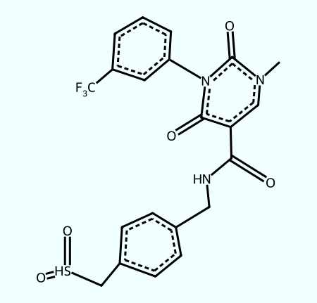 Cn1cc(C(=O)NCc2ccc(C[SH](=O)=O)cc2)c(=O)n(-c2cccc(C(F)(F)F)c2)c1=O